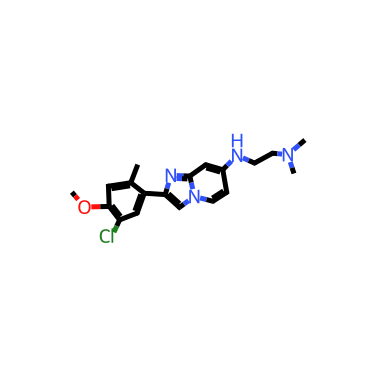 COc1cc(C)c(-c2cn3ccc(NCCN(C)C)cc3n2)cc1Cl